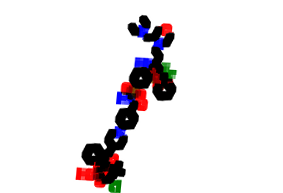 CCN(CC)CC1COCCN1CCC(CSc1ccccc1)Nc1ccc(S(=O)(=O)NC(=O)c2ccc(N3CCC([C@@H](OC(OP(=O)(O)O)(C(C)(C)C)C(C)(C)C)c4ccccc4-c4ccc(Cl)cc4)CC3)cc2)cc1S(=O)(=O)C(F)(F)F